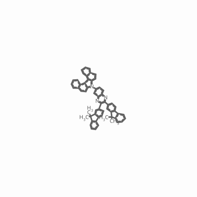 CC1(C)c2ccccc2-c2ccc(-c3nc4ccc(-n5c6ccc7ccccc7c6c6c7ccccc7ccc65)cc4nc3-c3ccc4c(c3)C(C)(C)c3ccccc3-4)cc21